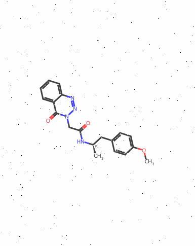 COc1ccc(C[C@@H](C)NC(=O)Cn2nnc3ccccc3c2=O)cc1